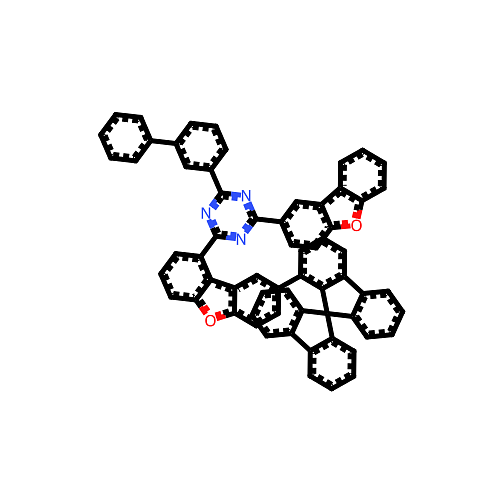 c1ccc(-c2cccc(-c3nc(-c4ccc5oc6ccccc6c5c4)nc(-c4cccc5oc6ccc(-c7cccc8c7C7(c9ccccc9-c9ccccc97)c7ccccc7-8)cc6c45)n3)c2)cc1